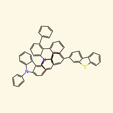 c1ccc(-c2ccccc2-c2c(-c3ccccc3)cccc2N(c2ccc(-c3ccc4c(c3)sc3ccccc34)cc2)c2cccc3c2c2ccccc2n3-c2ccccc2)cc1